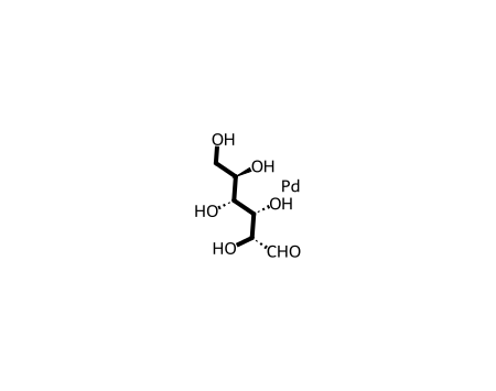 O=C[C@H](O)[C@@H](O)[C@H](O)[C@H](O)CO.[Pd]